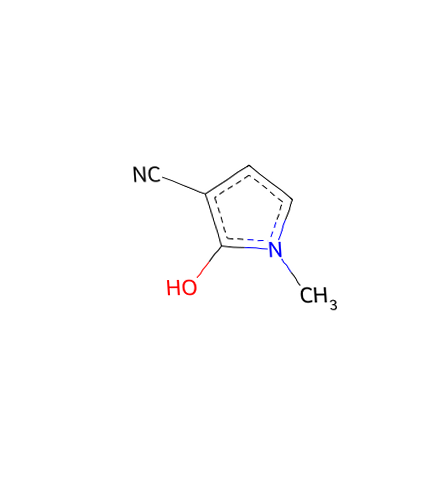 Cn1ccc(C#N)c1O